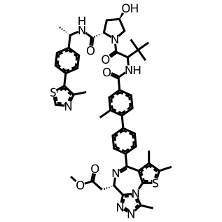 COC(=O)C[C@@H]1N=C(c2ccc(-c3ccc(C(=O)NC(C(=O)N4C[C@H](O)C[C@H]4C(=O)N[C@@H](C)c4ccc(-c5scnc5C)cc4)C(C)(C)C)cc3C)cc2)c2c(sc(C)c2C)-n2c(C)nnc21